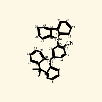 CC1(C)c2ccccc2N(c2ccc(C#N)c(-n3c4ccccc4c4ccccc43)c2)c2ccccc21